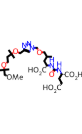 COCC(C)(C)OCCC(C)(C)OCc1cn(COCC(C)C[C@H](NC(=O)N[C@@H](CCC(=O)O)C(=O)O)C(=O)O)nn1